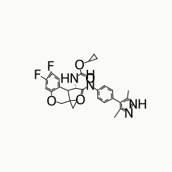 Cc1n[nH]c(C)c1-c1ccc(NC(=O)[C@@H](NC(=O)OC2CC2)C2c3cc(F)c(F)cc3OCC23CC3)cc1